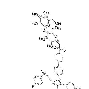 C[C@@H](CC[C@H]1C(=O)N(c2ccc(F)cc2)[C@@H]1c1ccc(-c2ccc(S(=O)(=O)C[C@@H]3OC(CO)[C@@H](O[C@@H]4OC(CO)[C@@H](O)[C@H](O)C4O)[C@H](O)C3O)cc2)cc1)c1ccc(F)cc1